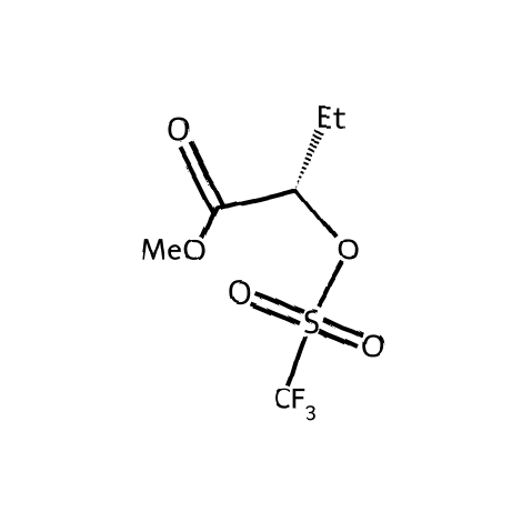 CC[C@H](OS(=O)(=O)C(F)(F)F)C(=O)OC